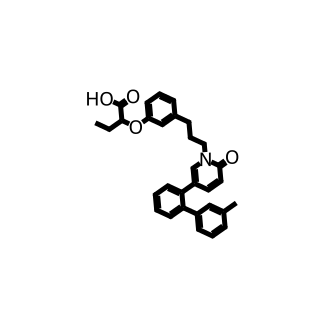 CCC(Oc1cccc(CCCn2cc(-c3ccccc3-c3cccc(C)c3)ccc2=O)c1)C(=O)O